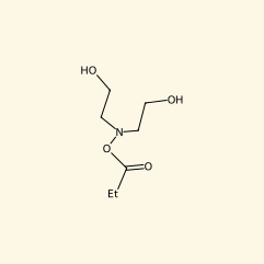 CCC(=O)ON(CCO)CCO